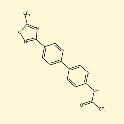 O=C(Nc1ccc(-c2ccc(-c3noc(C(F)(F)F)n3)cc2)cn1)C(F)(F)F